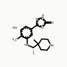 C[C@H](Nc1cc(-c2n[nH]c(=O)o2)ccc1C(F)(F)F)C1(C)CCNCC1.Cl